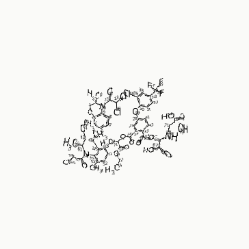 CC1COc2ccccc2N1C(=O)C(Cl)Cl.CCOC(=O)C(C)OC(=O)c1cc(Oc2ccc(C(F)(F)F)cc2Cl)ccc1[N+](=O)[O-].CCc1cccc(C)c1N(C(=O)CCl)C(C)COC.O=C(O)CNCP(=O)(O)O